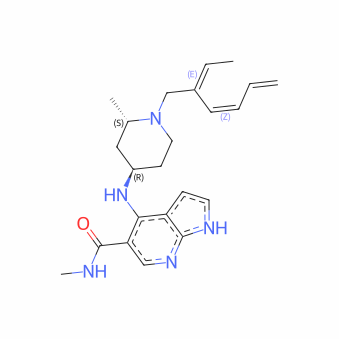 C=C/C=C\C(=C/C)CN1CC[C@@H](Nc2c(C(=O)NC)cnc3[nH]ccc23)C[C@@H]1C